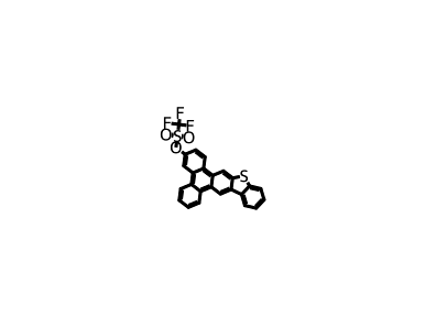 O=S(=O)(Oc1ccc2c(c1)c1ccccc1c1cc3c(cc21)sc1ccccc13)C(F)(F)F